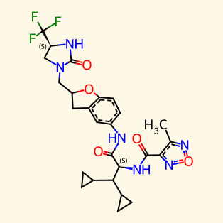 Cc1nonc1C(=O)N[C@H](C(=O)Nc1ccc2c(c1)CC(CN1C[C@@H](C(F)(F)F)NC1=O)O2)C(C1CC1)C1CC1